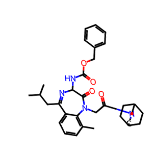 Cc1cccc2c1N(CC(=O)N1CC3CCC(CC3)C1)C(=O)C(NC(=O)OCc1ccccc1)N=C2CC(C)C